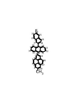 Cc1cc2ccc3cc(-c4c5ccccc5c(-c5ccc6cc(F)ccc6c5)c5ccccc45)cc4ccc(c1)c2c34